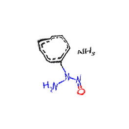 NN(N=O)c1ccccc1.[AlH3]